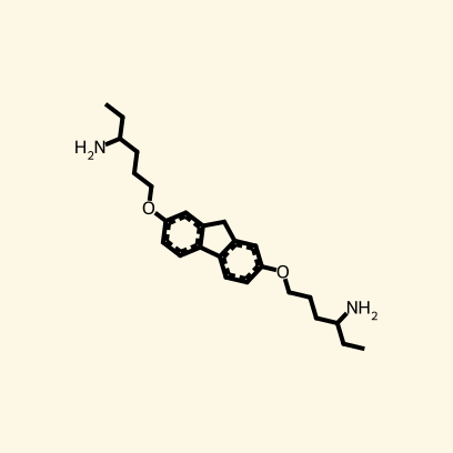 CCC(N)CCCOc1ccc2c(c1)Cc1cc(OCCCC(N)CC)ccc1-2